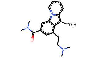 CN(C)CCc1cc(C(=O)N(C)C)cc2c1c(C(=O)O)c1ccccn12